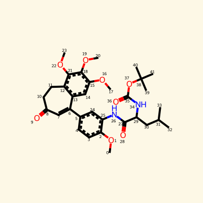 COc1ccc(C2=CC(=O)CCc3c2cc(OC)c(OC)c3OC)cc1NC(=O)C(CC(C)C)NC(=O)OC(C)(C)C